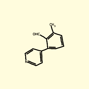 Cc1cccc(-c2ccncc2)c1C=O